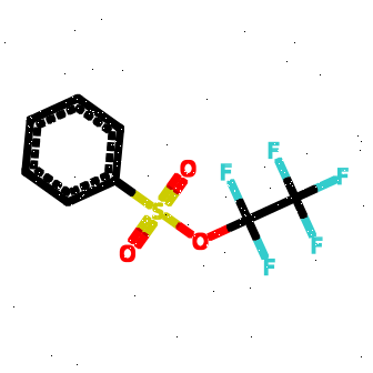 O=S(=O)(OC(F)(F)C(F)(F)F)c1ccccc1